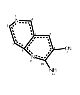 N#Cc1cc2cnccc2nc1[NH]